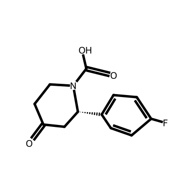 O=C1CCN(C(=O)O)[C@H](c2ccc(F)cc2)C1